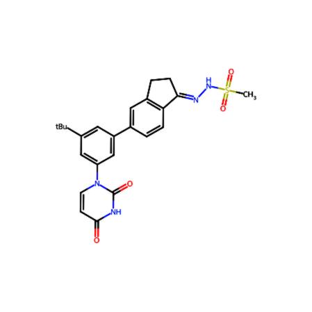 CC(C)(C)c1cc(-c2ccc3c(c2)CC/C3=N\NS(C)(=O)=O)cc(-n2ccc(=O)[nH]c2=O)c1